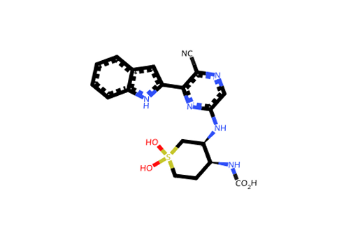 N#Cc1ncc(N[C@@H]2CS(O)(O)CC[C@@H]2NC(=O)O)nc1-c1cc2ccccc2[nH]1